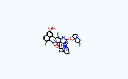 C#Cc1c(F)ccc2cc(O)cc(-c3nc4c5c(nc(OC[C@@]67CCCN6C[C@H](F)C7)nc5c3F)N3CC5CC[C@@H](N5)[C@@H]3CO4)c12